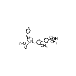 Cc1cc(CN2CCN(Cc3ccncc3)CC2CC(=O)OC(C)C)ccc1-c1ccc(C(C)(O)C(F)(F)F)cc1